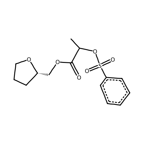 CC(OS(=O)(=O)c1ccccc1)C(=O)OC[C@@H]1CCCO1